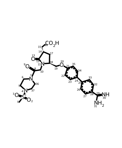 CS(=O)(=O)N1CCN(C(=O)CN2C(=O)[C@H](CC(=O)O)C[C@H]2COc2ccc(-c3ccc(C(=N)N)cc3)cc2)CC1